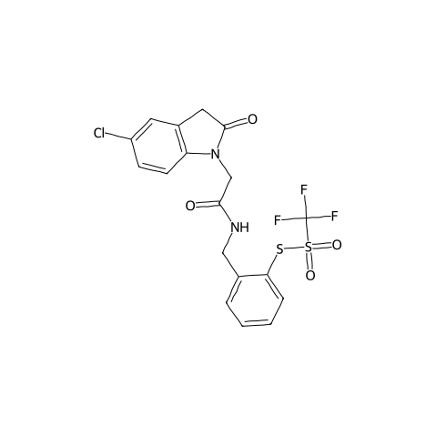 O=C(CN1C(=O)Cc2cc(Cl)ccc21)NCc1ccccc1SS(=O)(=O)C(F)(F)F